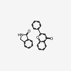 O=C1NCc2ccccc21.O=c1cc(-c2ccccc2)oc2ccccc12